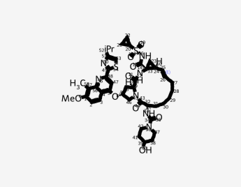 COc1ccc2c(O[C@@H]3C[C@H]4C(=O)N[C@]5(C(=O)NS(=O)(=O)C6CC6)C[C@H]5/C=C/CCCCC[C@H](NC(=O)N5CCC(O)CC5)C(=O)N4C3)cc(-c3nc(C(C)C)cs3)nc2c1C